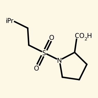 CC(C)CCS(=O)(=O)N1CCCC1C(=O)O